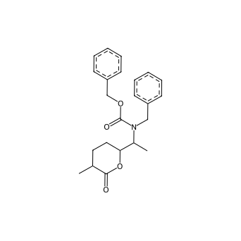 CC1CCC(C(C)N(Cc2ccccc2)C(=O)OCc2ccccc2)OC1=O